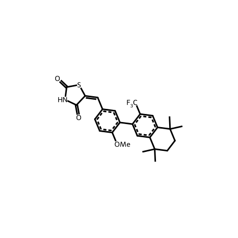 COc1ccc(/C=C2/SC(=O)NC2=O)cc1-c1cc2c(cc1C(F)(F)F)C(C)(C)CCC2(C)C